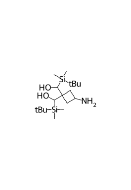 CC(C)(C)[Si](C)(C)C(O)C1(C(O)[Si](C)(C)C(C)(C)C)CC(N)C1